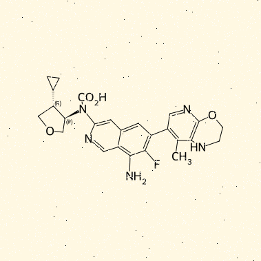 Cc1c(-c2cc3cc(N(C(=O)O)[C@H]4COC[C@@H]4C4CC4)ncc3c(N)c2F)cnc2c1NCCO2